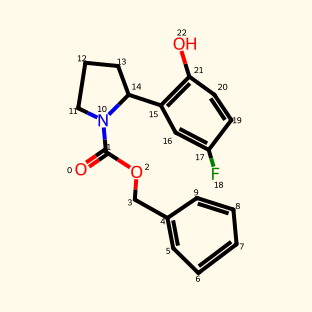 O=C(OCc1ccccc1)N1CCCC1c1cc(F)ccc1O